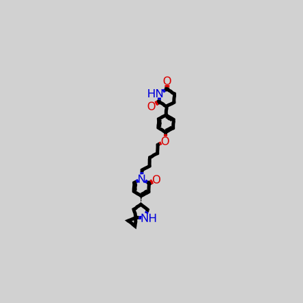 O=C1CCC(c2ccc(OCCCCCn3ccc([C@@H]4CNC5(CC5)C4)cc3=O)cc2)C(=O)N1